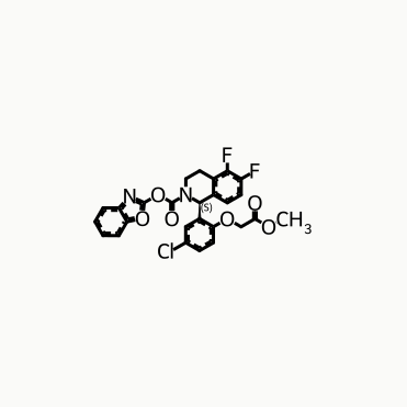 COC(=O)COc1ccc(Cl)cc1[C@@H]1c2ccc(F)c(F)c2CCN1C(=O)Oc1nc2ccccc2o1